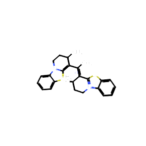 C/C(C1=C2Sc3ccccc3N2CCC1C)=C1\c2sc3ccccc3[n+]2CCC1C